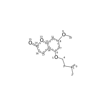 C=C(C)CCOc1cc(OC)cc2oc(=O)ccc12